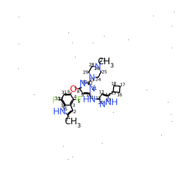 Cc1cc2c(F)c(Oc3cc(Nc4cc(C5CCC5)[nH]n4)nc(N4CCN(C)CC4)n3)cc(F)c2[nH]1